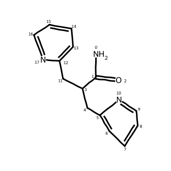 NC(=O)C(Cc1ccccn1)Cc1ccccn1